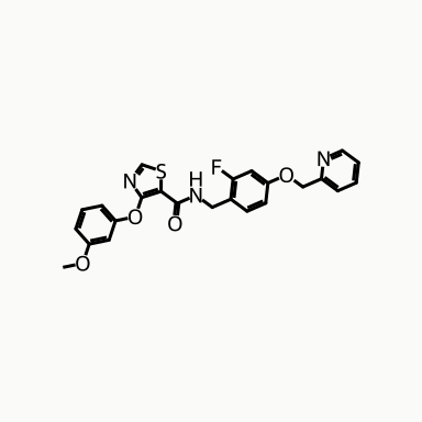 COc1cccc(Oc2ncsc2C(=O)NCc2ccc(OCc3ccccn3)cc2F)c1